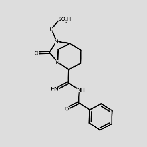 N=C(NC(=O)c1ccccc1)C1CCC2CN1C(=O)N2OS(=O)(=O)O